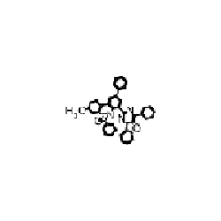 Cc1ccc2c(c1)S(=O)(c1ccccc1)=Nc1c(-c3nc(-c4ccccc4)c4oc5ccccc5c4n3)cc(-c3ccccc3)cc1-2